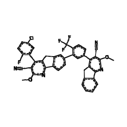 COc1nc2c(c(-c3ccc(C(F)(F)F)c(-c4ccc5c(c4)Cc4c-5nc(OC)c(C#N)c4-c4cc(Cl)ccc4F)c3)c1C#N)Cc1ccccc1-2